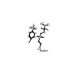 CCCCCCOCC[N+](C)(C)CCC(C)(C)N(Cl)Cl.Cc1ccc(S(=O)(=O)[O-])cc1